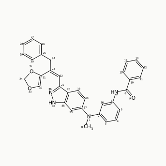 CN(c1cccc(NC(=O)c2ccccc2)c1)c1ccc2c(C=C(Cc3ccccc3)C3=COCO3)n[nH]c2c1